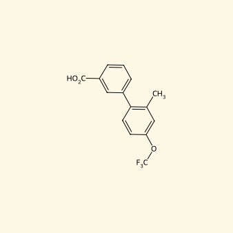 Cc1cc(OC(F)(F)F)ccc1-c1cccc(C(=O)O)c1